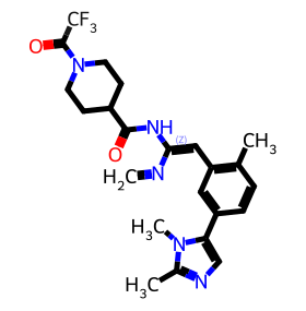 C=N/C(=C\c1cc(-c2cnc(C)n2C)ccc1C)NC(=O)C1CCN(C(=O)C(F)(F)F)CC1